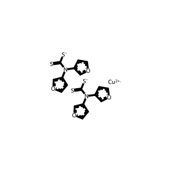 S=C([S-])N(c1ccoc1)c1ccoc1.S=C([S-])N(c1ccoc1)c1ccoc1.[Cu+2]